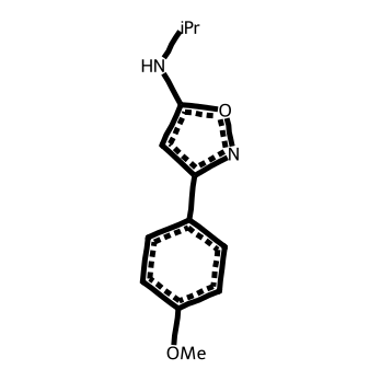 COc1ccc(-c2cc(NC(C)C)on2)cc1